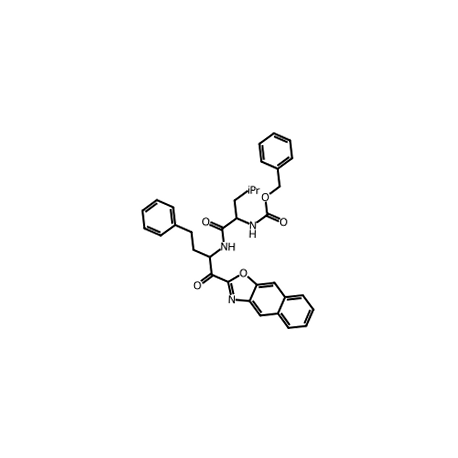 CC(C)CC(NC(=O)OCc1ccccc1)C(=O)NC(CCc1ccccc1)C(=O)c1nc2cc3ccccc3cc2o1